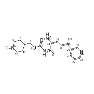 C=C(NC(=O)OCC1CCN(C)CC1)/C(N)=C\C=C(/C)c1cccnc1